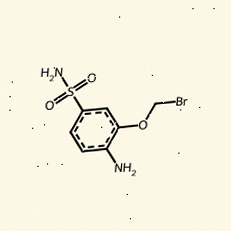 Nc1ccc(S(N)(=O)=O)cc1OCBr